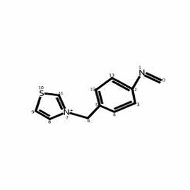 C=Nc1ccc(C[n+]2ccsc2)cc1